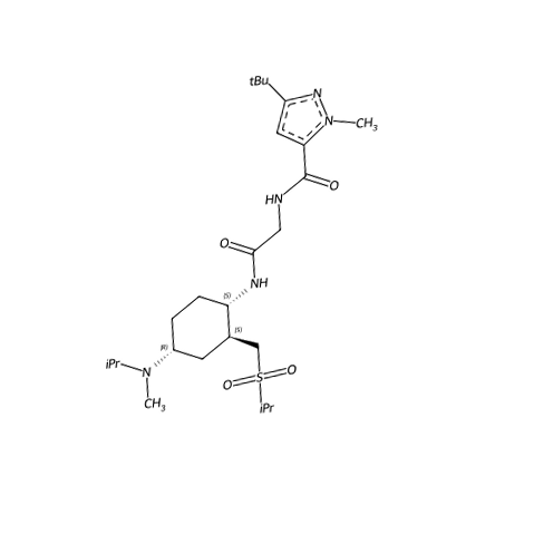 CC(C)N(C)[C@@H]1CC[C@H](NC(=O)CNC(=O)c2cc(C(C)(C)C)nn2C)[C@@H](CS(=O)(=O)C(C)C)C1